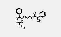 CC(=O)OC(OCCOC(=O)C(O)c1ccccc1)C(=O)c1ccccc1